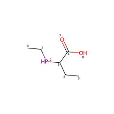 CCPC(CC)C(=O)O